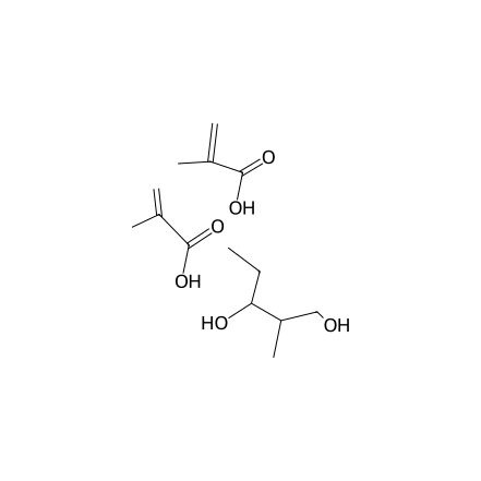 C=C(C)C(=O)O.C=C(C)C(=O)O.CCC(O)C(C)CO